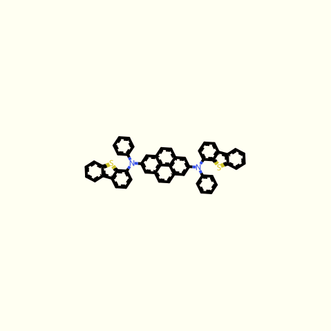 c1ccc(N(c2cc3ccc4cc(N(c5ccccc5)c5cccc6c5sc5ccccc56)cc5ccc(c2)c3c45)c2cccc3c2sc2ccccc23)cc1